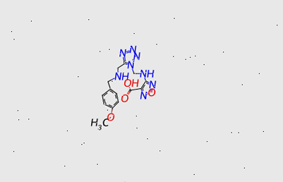 COc1ccc(CNCc2nnnn2CNc2nonc2C(=O)O)cc1